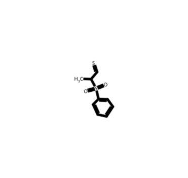 CC(C=S)S(=O)(=O)c1ccccc1